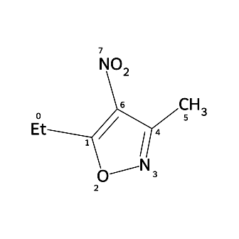 CCc1onc(C)c1[N+](=O)[O-]